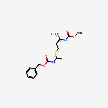 CC(NC(=O)OCc1ccccc1)SCC[C@H](NC(=O)OC(C)(C)C)C(=O)O